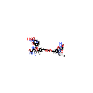 CC(OCc1ccc(CCCOCCOCCCc2ccc3c(c2)n(C)c(=O)n3C2CCC(=O)NC2=O)cc1)C(CCC(N)=O)NC(=O)[C@@H]1C=C2C(=O)[C@@H](NC(=O)O)CCn3ccc(c32)C1